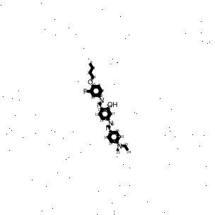 CCCCOc1ccc(/N=N/c2ccc(/N=N/c3ccc(N(C)CC)cc3)cc2O)cc1F